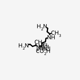 CC(CCN)NCCCCN(C(=O)O)C(C)CCN.Cl.Cl.Cl